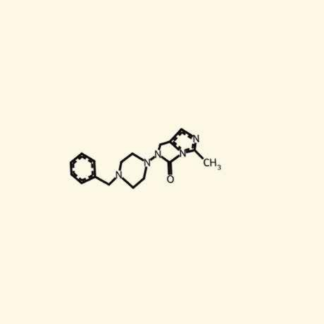 Cc1ncc2n1C(=O)N(N1CCN(Cc3ccccc3)CC1)C2